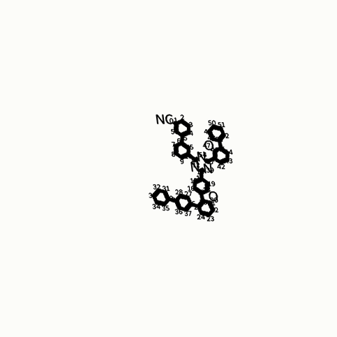 N#Cc1cccc(-c2cccc(-c3nc(-c4ccc5c(c4)oc4cccc(-c6ccc(-c7ccccc7)cc6)c45)nc(-c4cccc5c4oc4ccccc45)n3)c2)c1